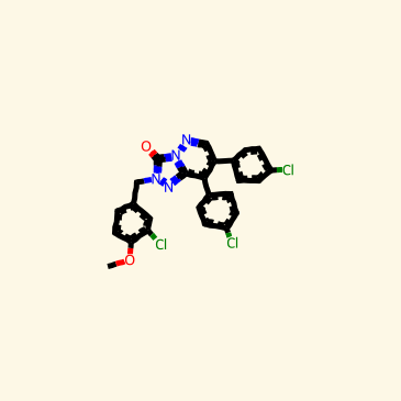 COc1ccc(Cn2nc3c(-c4ccc(Cl)cc4)c(-c4ccc(Cl)cc4)cnn3c2=O)cc1Cl